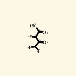 CC(C)(C)C(=O)C(F)C(=O)C(F)F